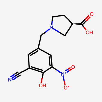 N#Cc1cc(CN2CC[C@@H](C(=O)O)C2)cc([N+](=O)[O-])c1O